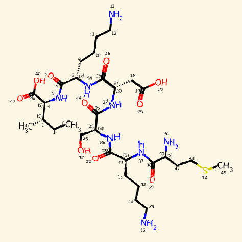 CC[C@H](C)[C@H](NC(=O)[C@H](CCCCN)NC(=O)[C@H](CC(=O)O)NC(=O)[C@H](CO)NC(=O)[C@H](CCCCN)NC(=O)[C@@H](N)CCSC)C(=O)O